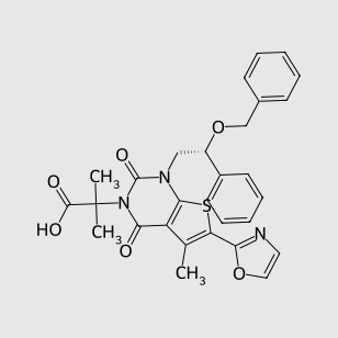 Cc1c(-c2ncco2)sc2c1c(=O)n(C(C)(C)C(=O)O)c(=O)n2C[C@H](OCc1ccccc1)c1ccccc1